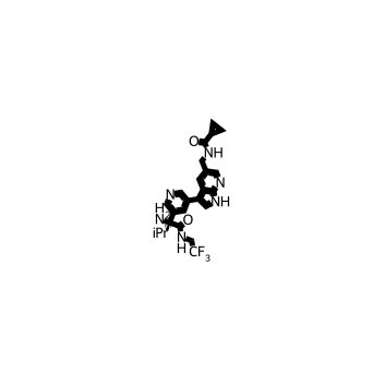 CC(C)[C@](N)(C(=O)NCC(F)(F)F)c1cncc(-c2c[nH]c3ncc(CNC(=O)C4CC4)cc23)c1